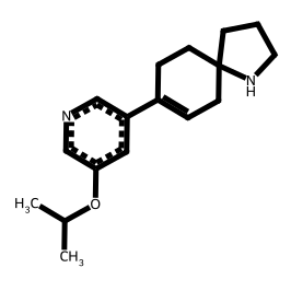 CC(C)Oc1cncc(C2=CCC3(CCCN3)CC2)c1